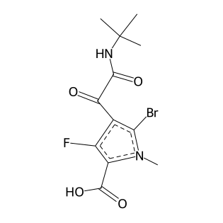 Cn1c(Br)c(C(=O)C(=O)NC(C)(C)C)c(F)c1C(=O)O